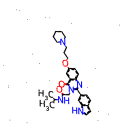 CC(C)NC(=O)Cn1c(-c2ccc3cc[nH]c3c2)nc2ccc(OCCCN3CCCCC3)cc2c1=O